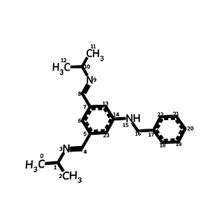 CC(C)/N=C/c1cc(/C=N/C(C)C)cc(NCc2ccccc2)c1